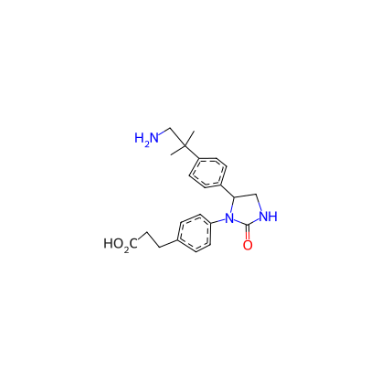 CC(C)(CN)c1ccc(C2CNC(=O)N2c2ccc(CCC(=O)O)cc2)cc1